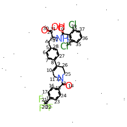 O=C(N[C@@H](Cc1ccc(C2=CCN(C(=O)c3ccc(C(F)(F)F)cc3)CC2)cc1)C(=O)O)c1c(Cl)cccc1Cl